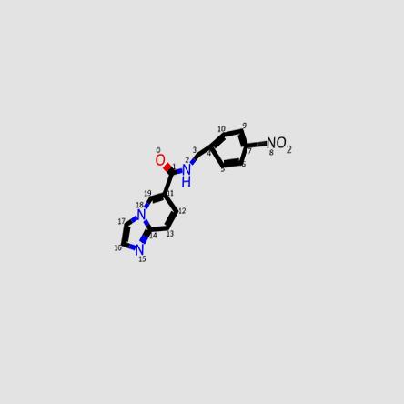 O=C(NCc1ccc([N+](=O)[O-])cc1)c1ccc2nccn2c1